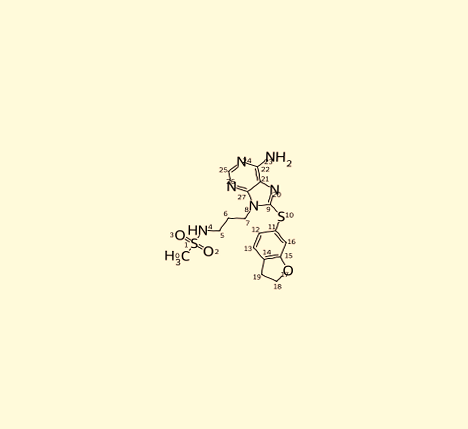 CS(=O)(=O)NCCCn1c(Sc2ccc3c(c2)OCC3)nc2c(N)ncnc21